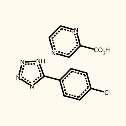 Clc1ccc(-c2nnn[nH]2)cc1.O=C(O)c1cnccn1